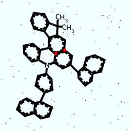 CC1(C)c2ccccc2-c2c(-c3ccccc3N(c3ccc(-c4cccc5ccccc45)cc3)c3cccc(-c4cccc5ccccc45)c3)cccc21